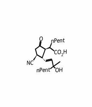 CCCCCC(C(=O)O)[C@@H]1C(=O)C[C@H](C#N)[C@H]1C=CC(C)(O)CCCCC